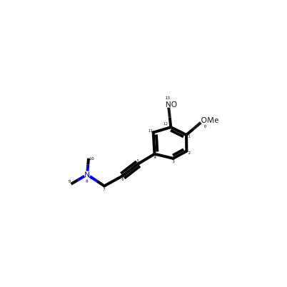 COc1ccc(C#CCN(C)C)cc1N=O